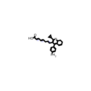 O=C(O)/C=C/C=C/C/C=C/c1c(C2CC2)nc2c(c1-c1ccc(P)cc1)C=CCC2